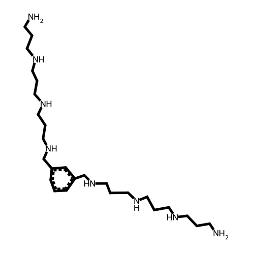 NCCCNCCCNCCCNCc1cccc(CNCCCNCCCNCCCN)c1